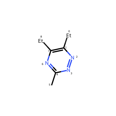 CCc1nnc(C)nc1CC